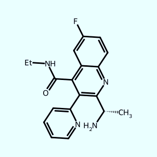 CCNC(=O)c1c(-c2ccccn2)c([C@H](C)N)nc2ccc(F)cc12